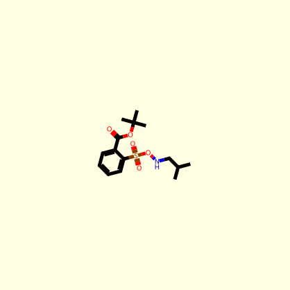 CC(C)CNOS(=O)(=O)c1ccccc1C(=O)OC(C)(C)C